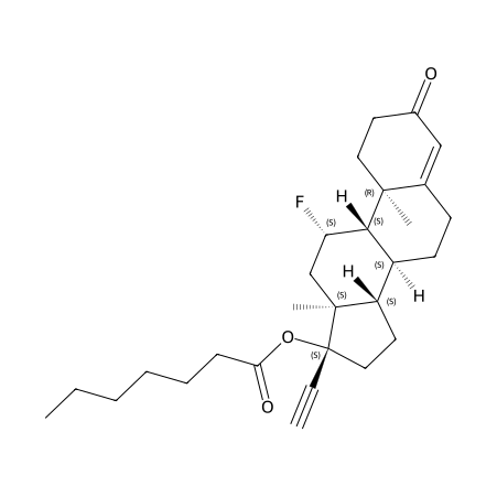 C#C[C@]1(OC(=O)CCCCCC)CC[C@H]2[C@@H]3CCC4=CC(=O)CC[C@]4(C)[C@H]3[C@@H](F)C[C@@]21C